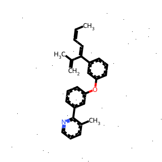 C=C(C)/C(=C\C=C/C)c1cccc(Oc2cccc(-c3ncccc3C)c2)c1